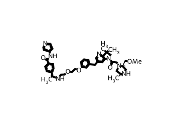 COC[C@H]1CN[C@H](C)CN1CC(=O)N1CC(C)(C)c2ncc(Cc3cccc(OCCOCCN[C@H](C)c4ccc(C(=O)Nc5ccncc5)cc4)c3)cc21